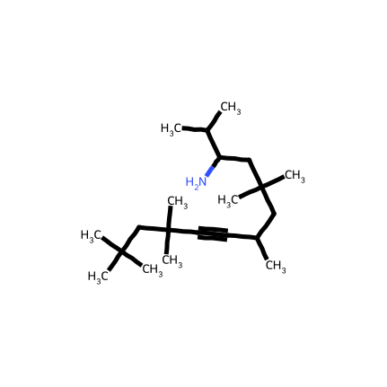 CC(C#CC(C)(C)CC(C)(C)C)CC(C)(C)CC(N)C(C)C